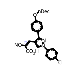 CCCCCCCCCCOc1ccc(-c2nn(-c3ccc(Cl)cc3)cc2/C=C(/C#N)C(=O)O)cc1